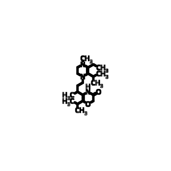 CCC1=C(C(C)C)N(CCC(C)C2=C(C(C)C)OCC(=O)N2)CCN1C